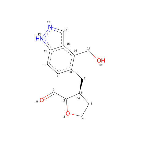 O=CC1OCC[C@@H]1Cc1ccc2[nH]ncc2c1CO